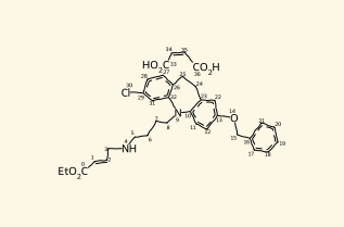 CCOC(=O)/C=C/CNCCCCN1c2ccc(OCc3ccccc3)cc2CCc2ccc(Cl)cc21.O=C(O)/C=C\C(=O)O